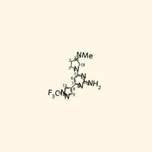 CN[C@@H]1CCN(c2cc(-c3cnn(C(F)(F)F)c3)nc(N)n2)C1